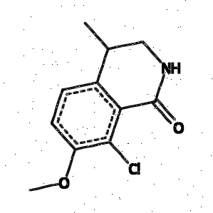 COc1ccc2c(c1Cl)C(=O)NCC2C